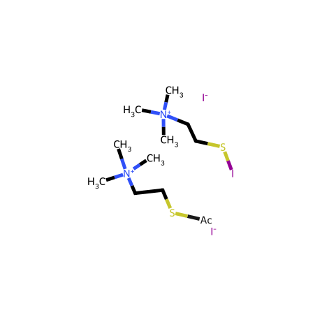 CC(=O)SCC[N+](C)(C)C.C[N+](C)(C)CCSI.[I-].[I-]